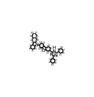 C1=CC2=Cc3c(c4ccccc4n3-c3ccc4c(c3)oc3cc(C5=NC(c6ccccc6)=NC(c6ccccc6)N5)ccc34)CC2C=C1